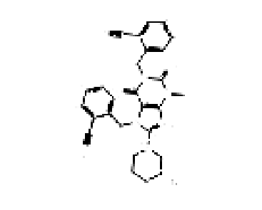 Cn1c(=O)n(Cc2ccccc2C#N)c(=O)c2c1nc(N1CCC[C@@H](N)C1)n2Cc1ccccc1C#N